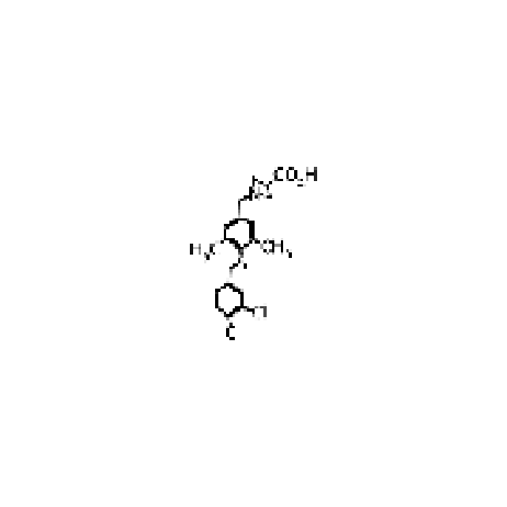 Cc1cc(CN2CC(C(=O)O)C2)cc(C)c1SCc1ccc(Cl)c(Cl)c1